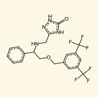 O=c1[nH]nc(CNC(COCc2cc(C(F)(F)F)cc(C(F)(F)F)c2)c2ccccc2)[nH]1